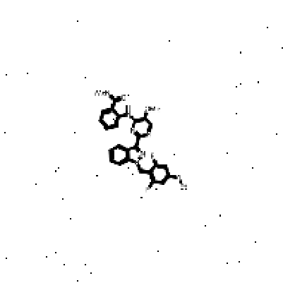 CCOc1cc(F)c(Cn2nc(-c3ncc(OC)c(Nc4ccccc4C(=O)NC)n3)c3ccccc32)c(F)c1